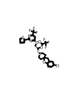 O=C(O[C@H](COc1cc(C(F)(F)F)nc(-c2cccs2)n1)CN1CCC2(CC1)Cc1cc(Cl)ccc1O2)C(F)(F)F